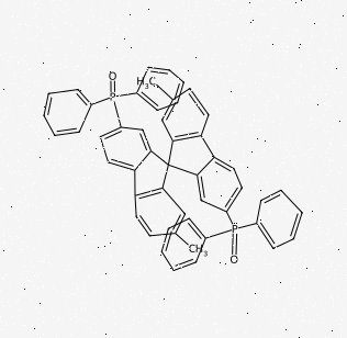 Cc1ccc2c(c1)C1(c3cc(C)ccc3-c3ccc(P(=O)(c4ccccc4)c4ccccc4)cc31)c1cc(P(=O)(c3ccccc3)c3ccccc3)ccc1-2